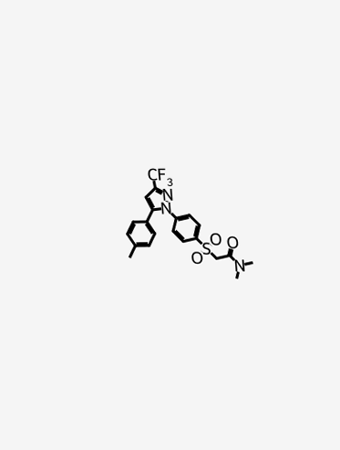 Cc1ccc(-c2cc(C(F)(F)F)nn2-c2ccc(S(=O)(=O)CC(=O)N(C)C)cc2)cc1